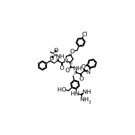 CS(=O)(=O)N[C@H](CCc1ccccc1)C(=O)N1C[C@H](OCc2ccc(Cl)cc2)C[C@H]1C(=O)N[C@@H](Cc1ccc(NC(=N)N)c(CO)c1)C(=O)c1nc2ccccc2o1